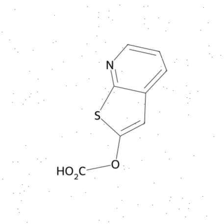 O=C(O)Oc1cc2cccnc2s1